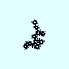 c1ccc(-c2ccc(-c3cc(-c4cccc(-c5cc6c(-c7ccc8sc9ccccc9c8c7)nc7ccccc7c6c6c5oc5ccccc56)c4)nc(-c4ccccc4)n3)cc2)cc1